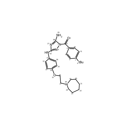 CC(C)(C)c1ccc(C(=O)n2nc(Nc3ccc(OCCN4CCCCCC4)cc3)nc2N)cc1